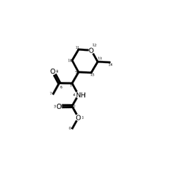 COC(=O)NC(C(C)=O)C1CCOC(C)C1